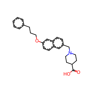 O=C(O)C1CCN(Cc2ccc3cc(OCCCc4ccccc4)ccc3c2)CC1